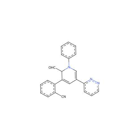 N#Cc1ccccc1C1=CC(c2cccnn2)=CN(c2ccccc2)C1C=O